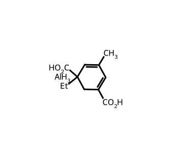 CCC1(C(=O)O)C=C(C)C=C(C(=O)O)C1.[AlH3]